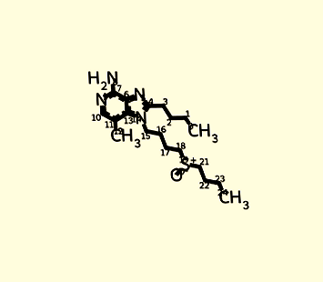 CCCCc1nc2c(N)ncc(C)c2n1CCCC[S+]([O-])CCCC